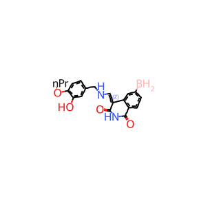 Bc1ccc2c(c1)/C(=C/NCc1ccc(OCCC)c(O)c1)C(=O)NC2=O